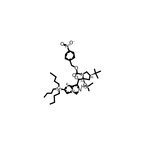 CCC[CH2][Sn]([CH2]CCC)([CH2]CCC)[c]1cn2cnc(C(=O)[C@@]3(O[SiH](C)C)C[C@H](C(C)(C)C)CN3C(=O)OCc3ccc([N+](=O)[O-])cc3)c2s1